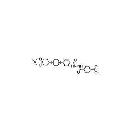 COC(=O)c1ccc(C(=O)NNC(=O)c2ccc(N3CCN(C4CCC5(CC4)OCC(C)(C)CO5)CC3)cc2)cc1